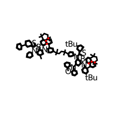 Cc1cc2c3c(c1)N(c1ccccc1)c1c(sc4ccc(-c5ccccc5)cc14)B3c1cc3c(cc1N2c1ccc(C(C)(C)CCC(C)(C)c2ccc(N4c5cc(N6c7ccccc7Oc7ccccc76)cc6c5B(c5cc7c(cc5N6c5ccc(C(C)(C)C)cc5-c5ccccc5)C(C)(C)CCC7(C)C)c5sc6ccc(C(C)(C)C)cc6c54)cc2)cc1-c1ccccc1)C(C)(C)CCC3(C)C